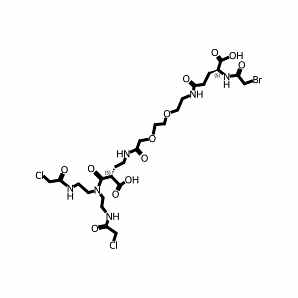 O=C(CCl)NCCN(CCNC(=O)CCl)C(=O)[C@H](CCNC(=O)COCCOCCNC(=O)CC[C@H](NC(=O)CBr)C(=O)O)C(=O)O